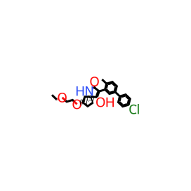 CCOCCO[C@@H]1CC[C@@]2(C1)NC(=O)C(c1cc(-c3ccc(Cl)cc3)ccc1C)=C2O